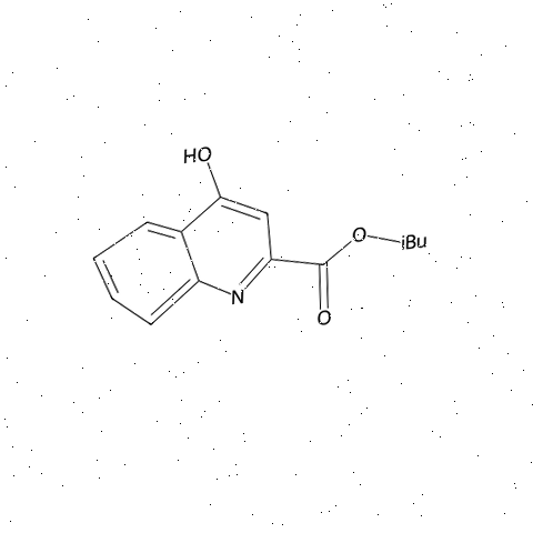 CCC(C)OC(=O)c1cc(O)c2ccccc2n1